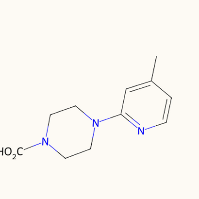 Cc1ccnc(N2CCN(C(=O)O)CC2)c1